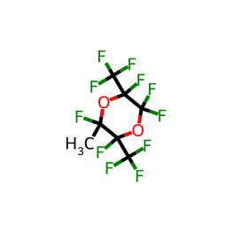 CC1(F)OC(F)(C(F)(F)F)C(F)(F)OC1(F)C(F)(F)F